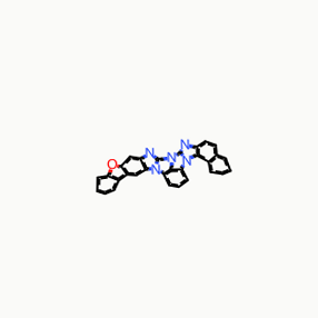 c1ccc2c(c1)ccc1nc3n(c4cccc5c4n3c3nc4cc6oc7ccccc7c6cc4n53)c12